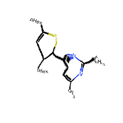 CCCCCCC1=CC(CCCCCC)C(c2cc(C)nc(C)n2)S1